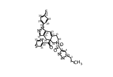 CCCn1cc(S(=O)(=O)N2CCC3=Cc4c(cnn4-c4ccc(F)cc4)CC3(C(=O)c3cscn3)C2)nn1